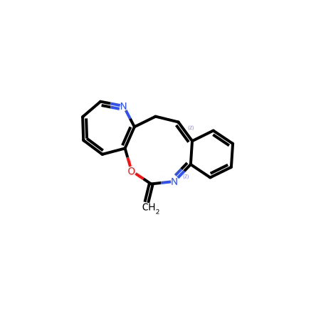 C=C1/N=c2/cccc/c2=C/CC2=C(C=C=CC=N2)O1